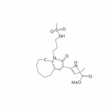 COC(=O)C1(C)C=C(c2cc3c(n(CCCNS(C)(=O)=O)c2=O)CCCCCC3)N1